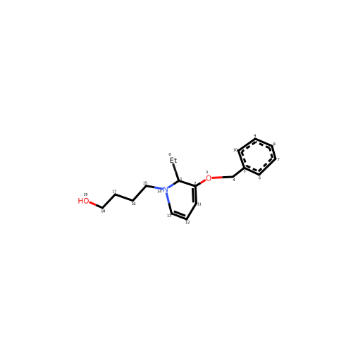 CCC1C(OCc2ccccc2)=CC=CN1CCCCO